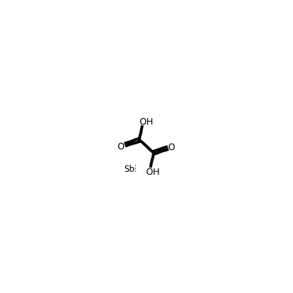 O=C(O)C(=O)O.[Sb]